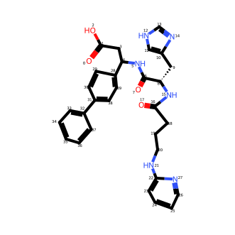 O=C(O)CC(NC(=O)[C@H](Cc1c[nH]cn1)NC(=O)CCCNc1ccccn1)c1ccc(-c2ccccc2)cc1